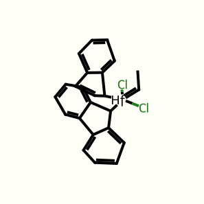 C[CH]=[Hf]([Cl])([Cl])([CH]1C=Cc2ccccc21)[CH]1c2ccccc2-c2ccccc21